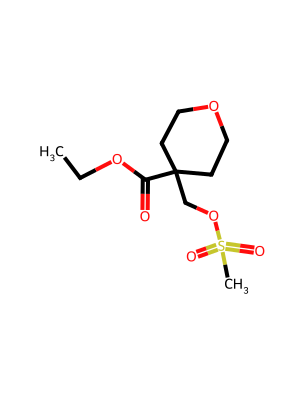 CCOC(=O)C1(COS(C)(=O)=O)CCOCC1